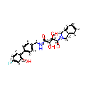 O=C(NCc1ccc(-c2ccc(F)cc2O)cc1)[C@H](O)[C@@H](O)C(=O)N1Cc2ccccc2C1